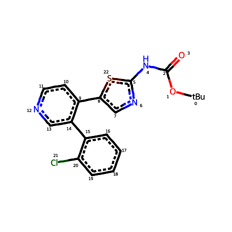 CC(C)(C)OC(=O)Nc1ncc(-c2ccncc2-c2ccccc2Cl)s1